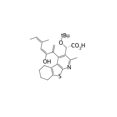 C=C(/C(O)=C\C(C)=C/C)c1c([C@H](OC(C)(C)C)C(=O)O)c(C)nc2sc3c(c12)CCCC3